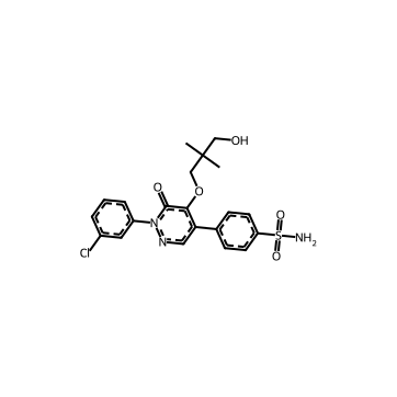 CC(C)(CO)COc1c(-c2ccc(S(N)(=O)=O)cc2)cnn(-c2cccc(Cl)c2)c1=O